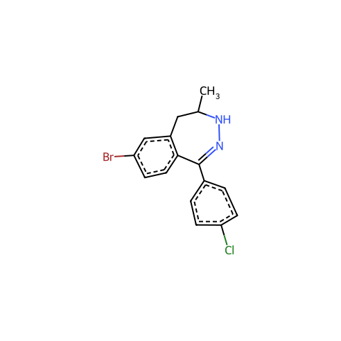 CC1Cc2cc(Br)ccc2C(c2ccc(Cl)cc2)=NN1